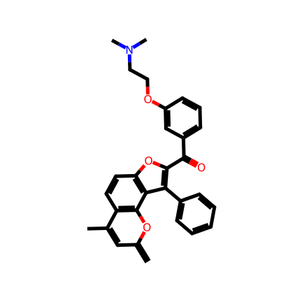 C=C1C=C(C)c2ccc3oc(C(=O)c4cccc(OCCN(C)C)c4)c(-c4ccccc4)c3c2O1